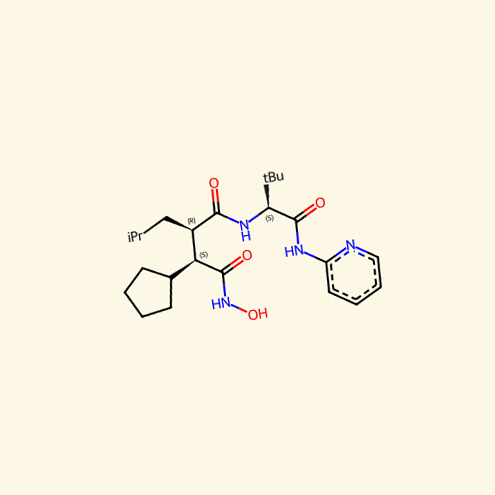 CC(C)C[C@@H](C(=O)N[C@H](C(=O)Nc1ccccn1)C(C)(C)C)[C@@H](C(=O)NO)C1CCCC1